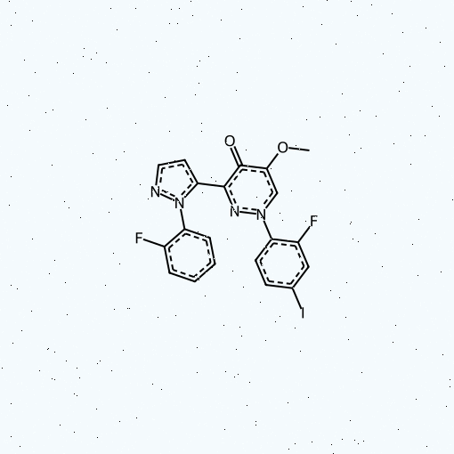 COc1cn(-c2ccc(I)cc2F)nc(-c2ccnn2-c2ccccc2F)c1=O